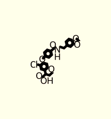 O=C(NCCc1ccc2c(c1)OCO2)c1ccc(Oc2cc3c(cc2Cl)C(C(=O)O)CCO3)cc1